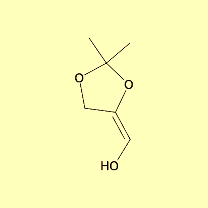 CC1(C)OCC(=CO)O1